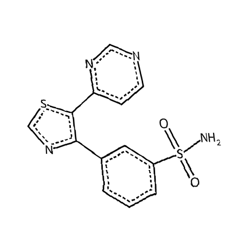 NS(=O)(=O)c1cccc(-c2ncsc2-c2ccncn2)c1